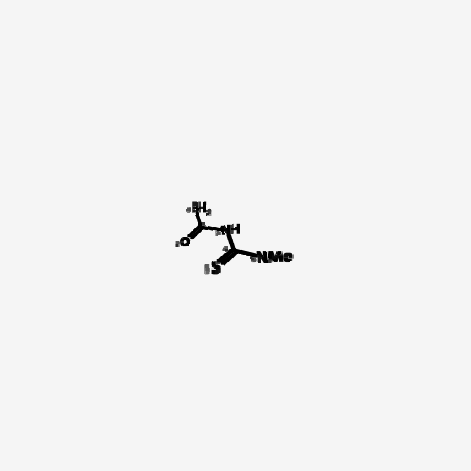 BC(=O)NC(=S)NC